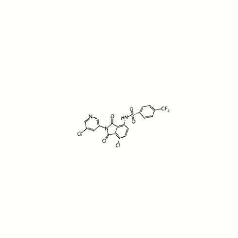 O=C1c2c(Cl)ccc(NS(=O)(=O)c3ccc(C(F)(F)F)cc3)c2C(=O)N1c1cncc(Cl)c1